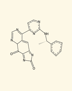 C[C@H](Nc1nccc(C2=NC=NC3C(=O)C4=NC(=O)N=C4C=C23)n1)c1ccccc1